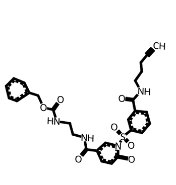 C#CCCCNC(=O)c1cccc(S(=O)(=O)n2cc(C(=O)NCCNC(=O)OCc3ccccc3)ccc2=O)c1